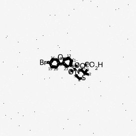 CC1(C)SCCN(S(=O)(=O)c2ccc3oc4cc(Br)ccc4c3c2)[C@H]1OC(=O)O